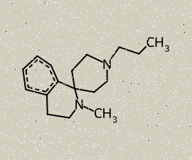 CCCN1CCC2(CC1)c1ccccc1CCN2C